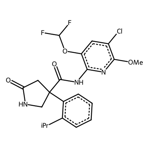 COc1nc(NC(=O)C2(c3ccccc3C(C)C)CNC(=O)C2)c(OC(F)F)cc1Cl